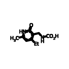 CCc1cc(C)[nH]c(=O)c1CNC(=O)O